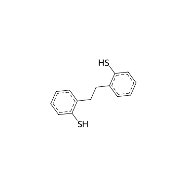 Sc1ccccc1CCc1ccccc1S